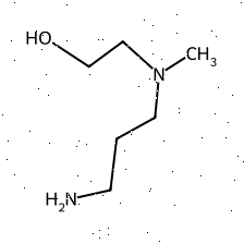 CN(CCO)CCCN